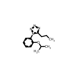 CCCc1nnnn1-c1ccccc1OC(C)C